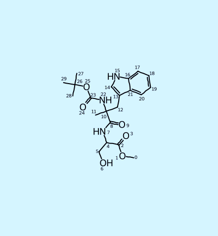 COC(=O)C(CO)NC(=O)C(C)(Cc1c[nH]c2ccccc12)NC(=O)OC(C)(C)C